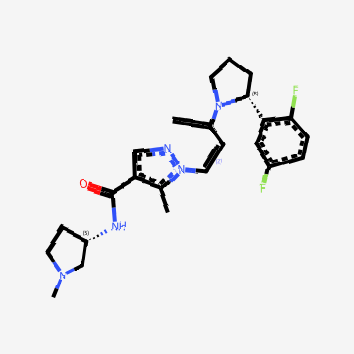 C=C(/C=C\n1ncc(C(=O)N[C@H]2CCN(C)C2)c1C)N1CCC[C@@H]1c1cc(F)ccc1F